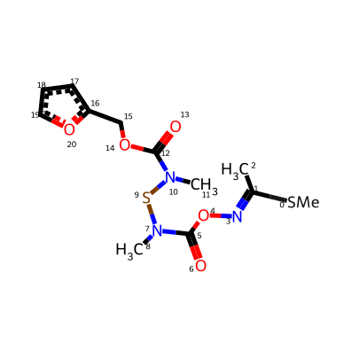 CSC(C)=NOC(=O)N(C)SN(C)C(=O)OCc1ccco1